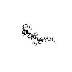 CCOC(C)(C)CCNC(=O)OCc1cn(CC)nn1